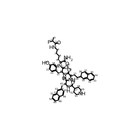 CC(F)C(=O)NCCCC[C@H](NC(=O)[C@H](Cc1ccc(O)cc1)NC(=O)[C@@H](CCC1C=c2ccccc2=CC1)NC(=O)[C@@H](Cc1ccc2ccccc2c1)NC(=O)C1CCNCC1)C(N)=O